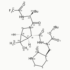 CC(C)(C)OC(=O)N(C[C@H]1CCCNC1=O)NC(=O)[C@@H]1[C@@H]2[C@H](CN1C(=O)[C@@H](NC(=O)C(F)(F)F)C(C)(C)C)C2(C)C